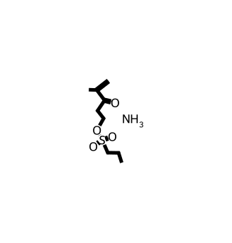 C=C(C)C(=O)CCOS(=O)(=O)CCC.N